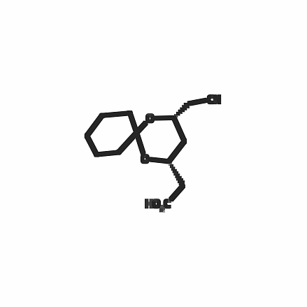 N#CC[C@@H]1C[C@H](CC(=O)O)OC2(CCCCC2)O1